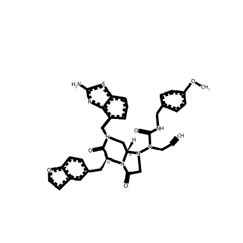 C#CCN(C(=O)NCc1ccc(OC)cc1)N1CC(=O)N2[C@@H](Cc3ccc4occc4c3)C(=O)N(Cc3cccc4sc(N)nc34)C[C@@H]21